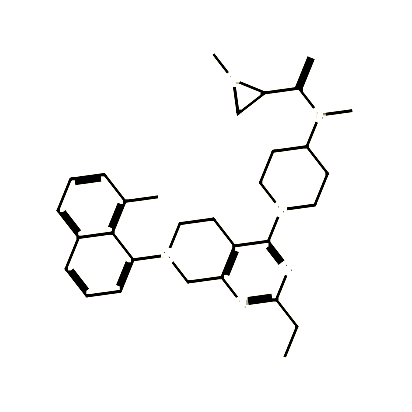 C=C(C1CN1C)N(C)C1CCN(c2nc(CC)nc3c2CCN(c2cccc4cccc(C)c24)C3)CC1